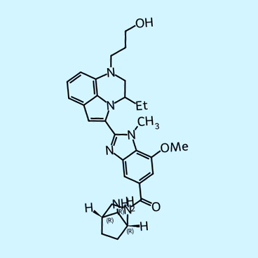 CCC1CN(CCCO)c2cccc3cc(-c4nc5cc(C(=O)N6C[C@H]7CC[C@@H]6[C@@H]7N)cc(OC)c5n4C)n1c23